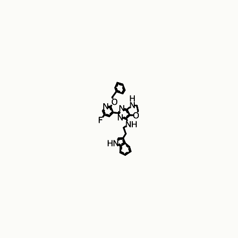 Fc1cnc(OCc2ccccc2)c(-c2nc3c(c(NCCc4c[nH]c5ccccc45)n2)OCCN3)c1